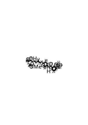 CO[C@@]1(C)C[C@@]2(CO2)[C@H](O)[C@@H](C=C/C(C)=C/C[C@@H]2O[C@H](C)[C@H](NC(=O)c3cccc(N(C)S(C)(=O)=O)c3)C[C@@H]2C)O1